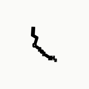 BB=BOCC=C